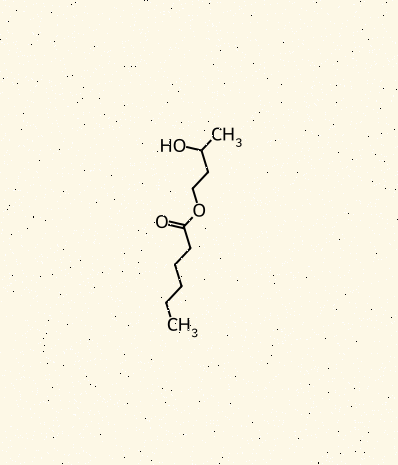 CCCCCC(=O)OCCC(C)O